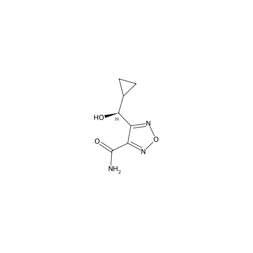 NC(=O)c1nonc1[C@@H](O)C1CC1